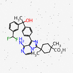 CC1(C(=O)O)CCC(C)(c2nc(-c3ccc(C(C)(O)c4cccc(C(F)F)c4)cc3)c3c(N)nccn23)CC1